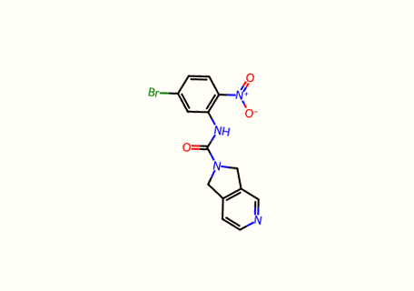 O=C(Nc1cc(Br)ccc1[N+](=O)[O-])N1Cc2ccncc2C1